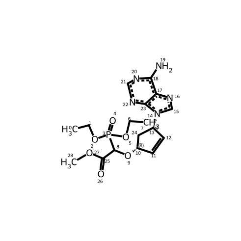 CCOP(=O)(OCC)C(O[C@H]1C=C[C@@H](n2cnc3c(N)ncnc32)C1)C(=O)OC